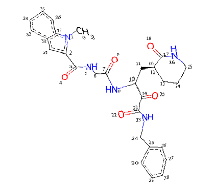 Cn1c(C(=O)NCC(=O)NC(C[C@@H]2CCCNC2=O)C(=O)C(=O)NCc2ccccc2)cc2ccccc21